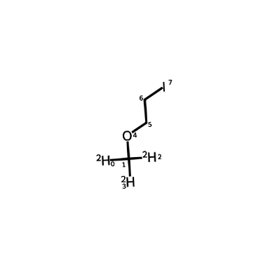 [2H]C([2H])([2H])OCCI